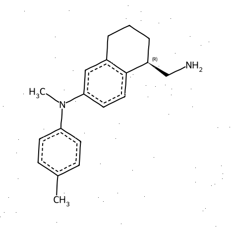 Cc1ccc(N(C)c2ccc3c(c2)CCC[C@H]3CN)cc1